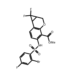 COC(=O)c1c(NS(=O)(=O)c2ccc(F)cc2Br)ccc2c1OCC1C2C1(F)F